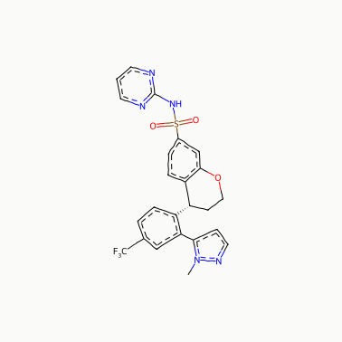 Cn1nccc1-c1cc(C(F)(F)F)ccc1[C@H]1CCOc2cc(S(=O)(=O)Nc3ncccn3)ccc21